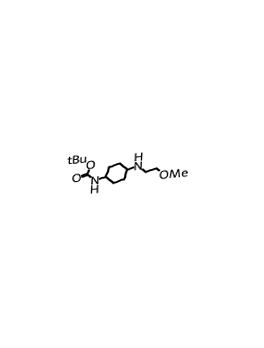 COCCNC1CCC(NC(=O)OC(C)(C)C)CC1